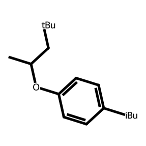 CCC(C)c1ccc(OC(C)CC(C)(C)C)cc1